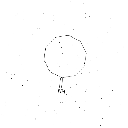 N=C1CCCCCCCCC1